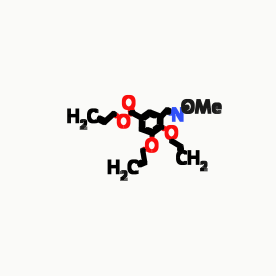 C=CCOC(=O)c1cc(C=NOC)c(OCC=C)c(OCC=C)c1